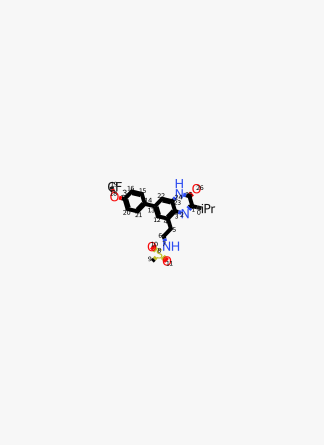 CC(C)c1nc2c(CCNS(C)(=O)=O)cc(-c3ccc(OC(F)(F)F)cc3)cc2[nH]c1=O